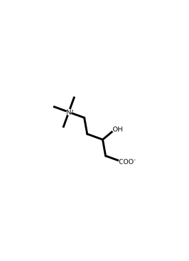 C[N+](C)(C)CCC(O)CC(=O)[O-]